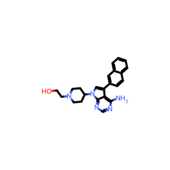 Nc1ncnc2c1c(-c1ccc3ccccc3c1)cn2C1CCN(CCO)CC1